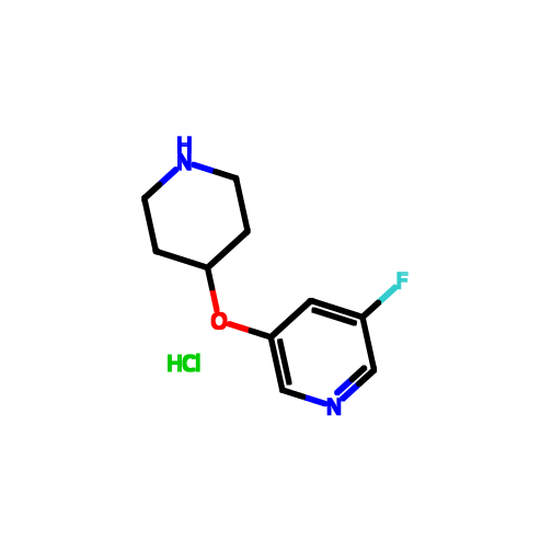 Cl.Fc1cncc(OC2CCNCC2)c1